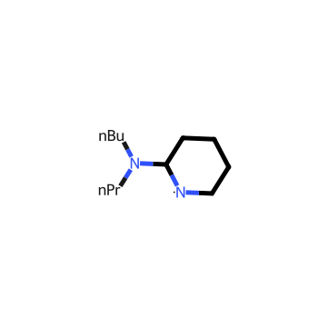 CCCCN(CCC)C1CCCC[N]1